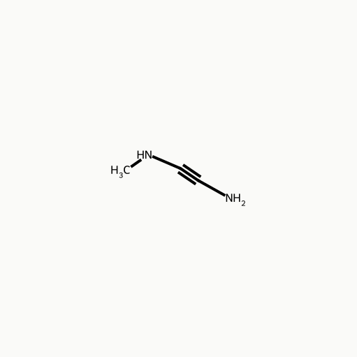 CNC#CN